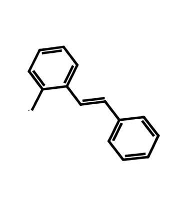 [CH2]c1ccccc1C=Cc1ccccc1